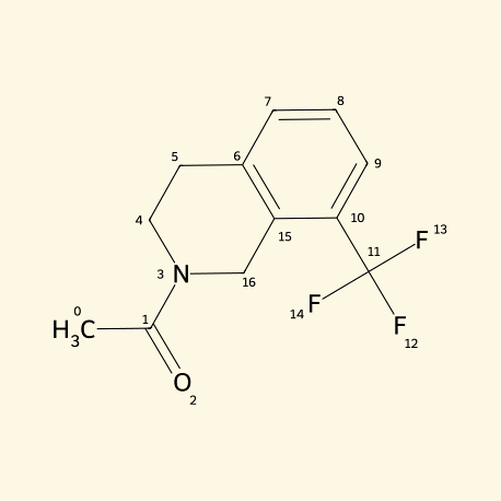 CC(=O)N1CCc2cccc(C(F)(F)F)c2C1